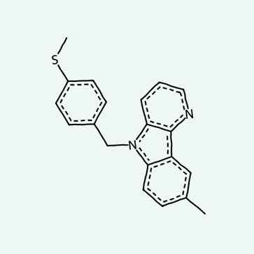 CSc1ccc(Cn2c3ccc(C)cc3c3ncccc32)cc1